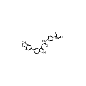 CSc1ccc(-c2ccc3[nH]cc(CC(=O)Nc4ccc(C(=O)NO)cc4)c3c2)cc1